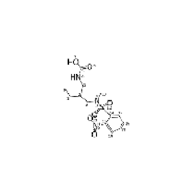 CCC(CNC(=O)O)CN(C)S(=O)(=O)c1ccccc1[N+](=O)[O-]